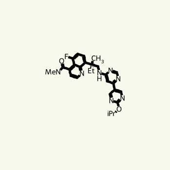 CC[C@](C)(CNc1cc(-c2cnc(OC(C)C)nc2)ncn1)c1ccc(F)c2c(C(=O)NC)ccnc12